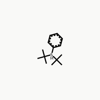 CC(C)(C)[SH](c1ccccc1)C(C)(C)C